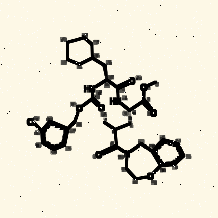 COC(=O)[C@H](CC(C)C(=O)N1CCOc2ccccc2C1)NC(=O)[C@H](CC1CCCCC1)NC(=O)OCc1cccc(Cl)c1